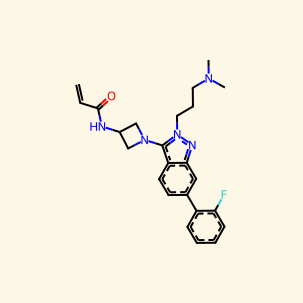 C=CC(=O)NC1CN(c2c3ccc(-c4ccccc4F)cc3nn2CCCN(C)C)C1